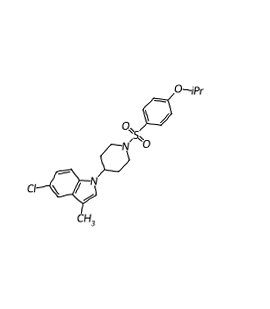 Cc1cn(C2CCN(S(=O)(=O)c3ccc(OC(C)C)cc3)CC2)c2ccc(Cl)cc12